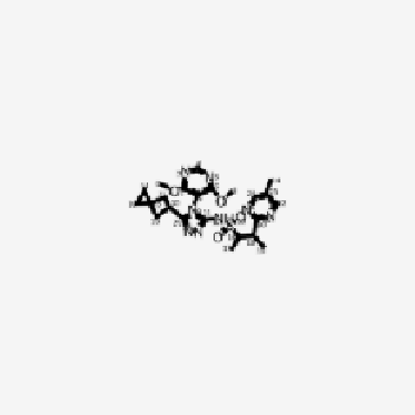 COc1ncnc(OC)c1-n1c(NS(=O)(=O)C(C)C(C)c2ncc(C)cn2)nnc1C1CC2(CC2)C1